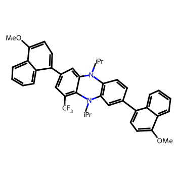 COc1ccc(-c2ccc3c(c2)N(C(C)C)c2c(cc(-c4ccc(OC)c5ccccc45)cc2C(F)(F)F)N3C(C)C)c2ccccc12